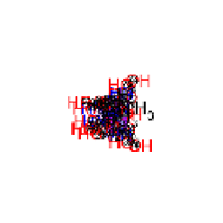 CC(=O)N(CC(O)(CN(C(C)=O)c1c(I)c(C(=O)NCC(O)CO)c(I)c(C(=O)NCC(O)CO)c1I)CN(C(C)=O)c1c(I)c(C(=O)NCC(O)CO)c(I)c(C(=O)NCC(O)CO)c1I)c1c(I)c(C(=O)NCC(O)CO)c(I)c(C(=O)NCC(O)CO)c1I